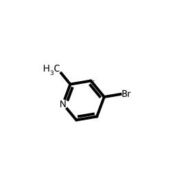 Cc1[c]c(Br)ccn1